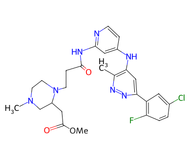 COC(=O)CC1CN(C)CCN1CCC(=O)Nc1cc(Nc2cc(-c3cc(Cl)ccc3F)nnc2C)ccn1